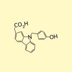 O=C(O)Cc1ccc2c3ccccc3n(Cc3ccc(O)cc3)c2c1